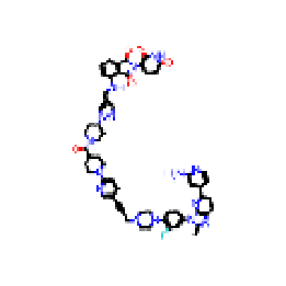 Cc1nc2ccc(-c3ccnc(N)c3)nc2n1-c1ccc(N2CCN(CC#Cc3ccc(N4CCC(C(=O)N5CCC(n6cc(CNc7cccc8c7C(=O)N([C@@H]7CCC(=O)NC7=O)C8=O)cn6)CC5)CC4)nc3)CC2)c(F)c1